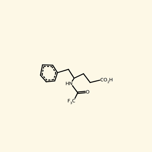 O=C(O)CCC(Cc1ccccc1)NC(=O)C(F)(F)F